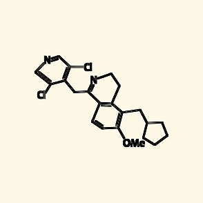 COc1ccc2c(c1CC1CCCC1)CCN=C2Cc1c(Cl)cncc1Cl